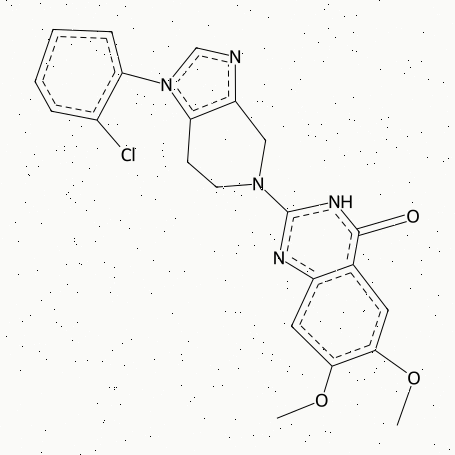 COc1cc2nc(N3CCc4c(ncn4-c4ccccc4Cl)C3)[nH]c(=O)c2cc1OC